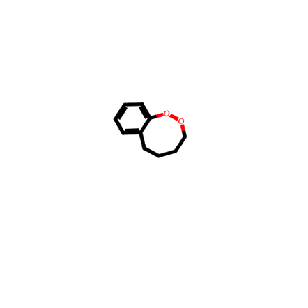 [CH]1CCCc2ccccc2OO1